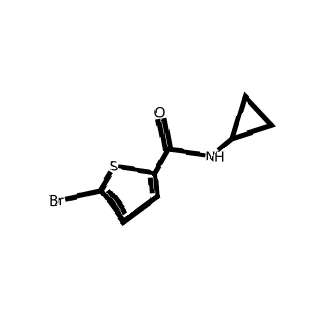 O=C(NC1CC1)c1ccc(Br)s1